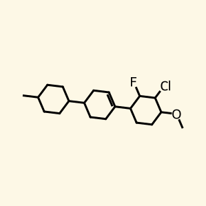 COC1CCC(C2=CCC(C3CCC(C)CC3)CC2)C(F)C1Cl